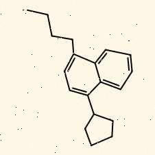 [CH2]CCCc1ccc(C2CCCC2)c2ccccc12